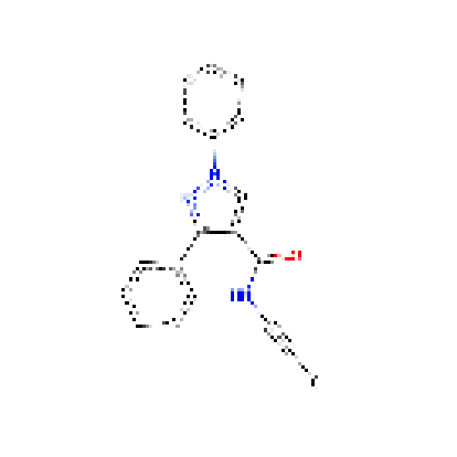 CC#CNC(=O)c1cn(-c2ccccc2)nc1-c1ccccc1